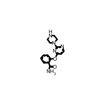 NC(=O)c1ccccc1Oc1ccnc(N2CCNCC2)n1